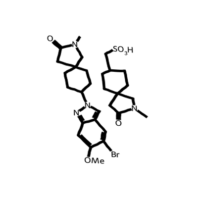 CN1CC2(CCC(CS(=O)(=O)O)CC2)CC1=O.COc1cc2nn(C3CCC4(CC3)CC(=O)N(C)C4)cc2cc1Br